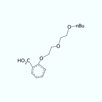 CCCCOCCOCCOc1ccccc1C(=O)O